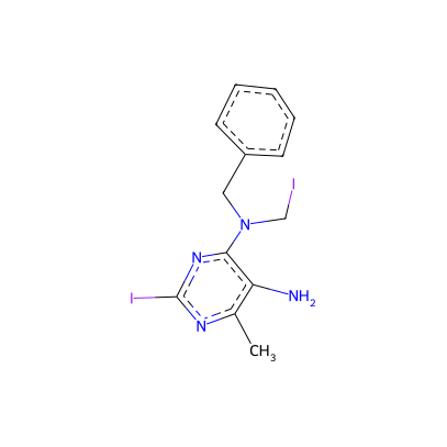 Cc1nc(I)nc(N(CI)Cc2ccccc2)c1N